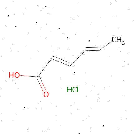 CC=CC=CC(=O)O.Cl